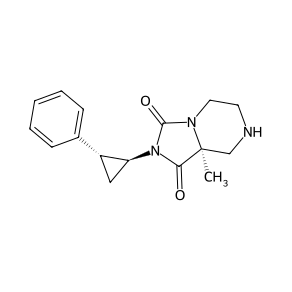 C[C@@]12CNCCN1C(=O)N([C@H]1C[C@@H]1c1ccccc1)C2=O